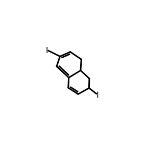 IC1=CCC2CC(I)C=CC2=C1